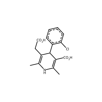 CC1=C(CC(=O)O)C(c2ccccc2Cl)C(C(=O)O)=C(C)N1